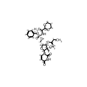 CCC(=O)O[C@@H]1[C@@H](COP(=O)(NC(C)C2OCCCO2)Oc2ccccc2)OC(n2ccc(=O)[nH]c2=O)[C@]1(C)F